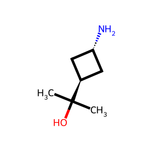 CC(C)(O)[C@H]1C[C@H](N)C1